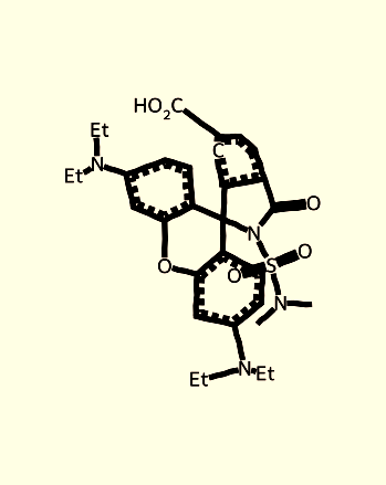 CCN(CC)c1ccc2c(c1)Oc1cc(N(CC)CC)ccc1C21c2cc(C(=O)O)ccc2C(=O)N1S(=O)(=O)N(C)C